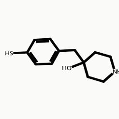 OC1(Cc2ccc(S)cc2)CCNCC1